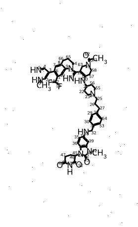 CN/C=C(\C=N)c1cc2c(cc1C(F)F)N(C(=N)C1=C(NC3CCN(CCCc4ccc(CNc5ccc6c(c5)n(C)c(=O)n6C5CCC(=O)NC5=O)cc4)CC3)CCN(C(C)=O)C1)CCC2